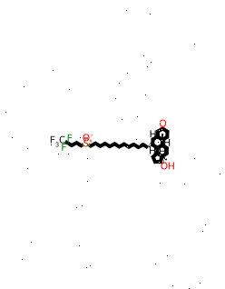 C[C@]12CCC(=O)C[C@@H]1C[C@@H](CCCCCCCCCCCCC[S+]([O-])CCCC(F)(F)C(F)(F)F)[C@@H]1[C@@H]2CC[C@]2(C)[C@@H](O)CC[C@@H]12